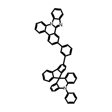 c1ccc(N2c3ccccc3C3(c4ccccc4-c4cc(-c5cccc(-c6ccc7c8ccccc8n8c9ccccc9nc8c7c6)c5)ccc43)c3ccccc32)cc1